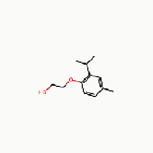 Cc1ccc(OCCO)c(C(C)C)c1